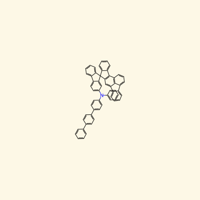 c1ccc(-c2ccc(-c3ccc(N(c4ccccc4)c4ccc5c(c4)C4(c6ccccc6-5)c5ccccc5-c5c4cc4c6c(cccc56)-c5ccccc5-4)cc3)cc2)cc1